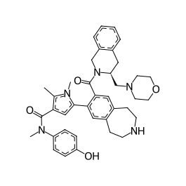 Cc1c(C(=O)N(C)c2ccc(O)cc2)cc(-c2cc3c(cc2C(=O)N2Cc4ccccc4C[C@H]2CN2CCOCC2)CCNCC3)n1C